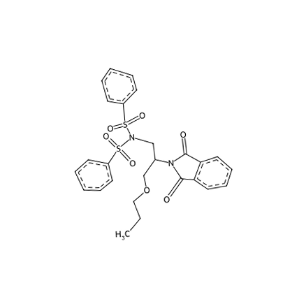 CCCOCC(CN(S(=O)(=O)c1ccccc1)S(=O)(=O)c1ccccc1)N1C(=O)c2ccccc2C1=O